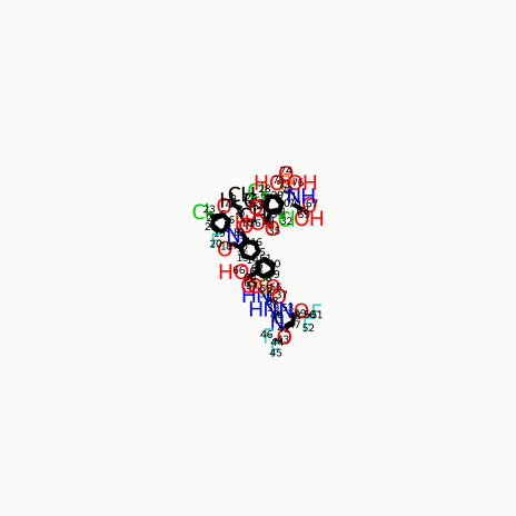 C#CC(C)Oc1cc(N2C(=O)C3=C(CCCC3)C2=O)c(F)cc1Cl.COc1c(Cl)ccc(Cl)c1C(=O)O.O=C(Nc1nc(OC(F)F)cc(OC(F)F)n1)NS(=O)(=O)c1ccccc1C(=O)O.O=C(O)CNCP(=O)(O)O